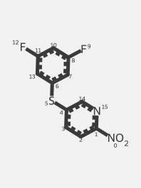 O=[N+]([O-])c1ccc(Sc2cc(F)cc(F)c2)cn1